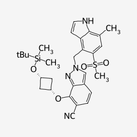 Cc1cc(S(C)(=O)=O)c(Cn2cc3ccc(C#N)c(O[C@H]4C[C@@H](O[Si](C)(C)C(C)(C)C)C4)c3n2)c2cc[nH]c12